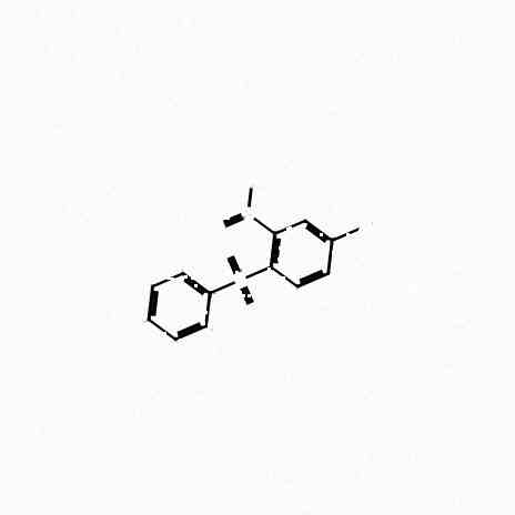 O=[N+]([O-])c1cc(I)ccc1S(=O)(=O)c1ccccc1